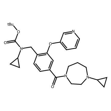 CC(C)(C)OC(=O)N(Cc1ccc(C(=O)N2CCCN(C3CC3)CC2)cc1Oc1cccnc1)C1CC1